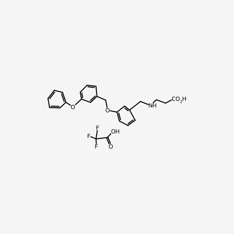 O=C(O)C(F)(F)F.O=C(O)CCNCc1cccc(OCc2cccc(Oc3ccccc3)c2)c1